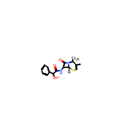 CC1=CS[C@@H]2C(NC(=O)C(O)c3ccccc3)C(=O)N2C1C(=O)O